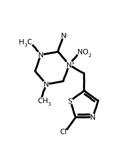 CN1CN(C)C([N])[N+](Cc2cnc(Cl)s2)([N+](=O)[O-])C1